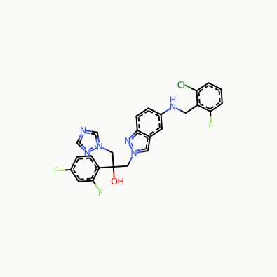 OC(Cn1cncn1)(Cn1cc2cc(NCc3c(F)cccc3Cl)ccc2n1)c1ccc(F)cc1F